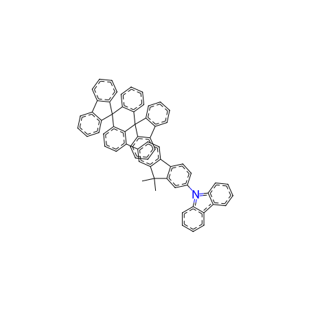 CC1(C)c2cc(-c3cccc4c3C3(c5ccccc5-c5ccccc53)c3ccccc3C43c4ccccc4-c4ccccc43)ccc2-c2ccc(-n3c4ccccc4c4ccccc43)cc21